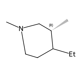 CCC1CCN(C)C[C@@H]1C